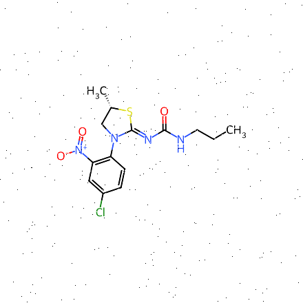 CCCNC(=O)N=C1S[C@@H](C)CN1c1ccc(Cl)cc1[N+](=O)[O-]